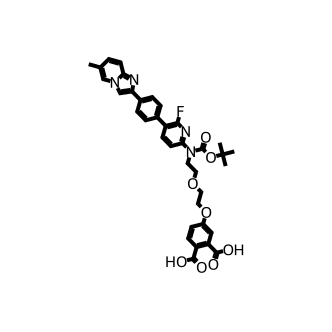 Cc1ccc2nc(-c3ccc(-c4ccc(N(CCOCCOc5ccc(C(=O)O)c(C(=O)O)c5)C(=O)OC(C)(C)C)nc4F)cc3)cn2c1